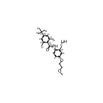 COCCOc1ccc(PC(=O)c2c(C)cc(C(C)(C)C)cc2C)c(C)c1.[LiH]